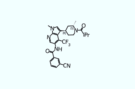 CC(C)C(=O)N1CC[C@@H](c2cn(C)c3ncc(NC(=O)c4cccc(C#N)c4)c(C(F)(F)F)c23)C[C@@H]1C